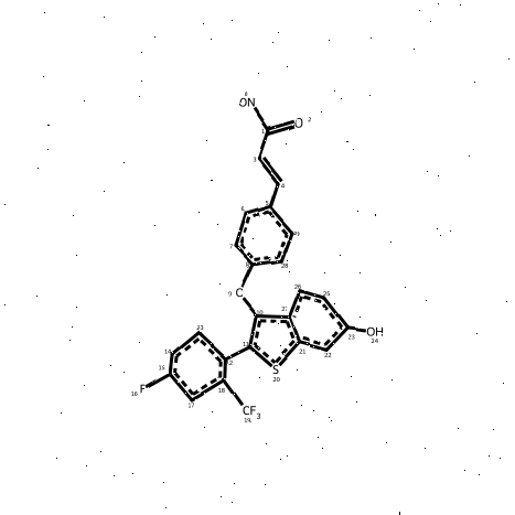 O=NC(=O)/C=C/c1ccc(Oc2c(-c3ccc(F)cc3C(F)(F)F)sc3cc(O)ccc23)cc1